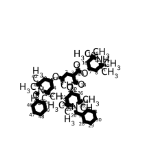 C=C(CC(C(=O)OC1CC(C)(C)NC(C)(C)C1)C(=O)OC1CC(C)(C)N(CC2CCCCC2)C(C)(C)C1)OC1CC(C)(C)N(OC2CCCCC2)C(C)(C)C1